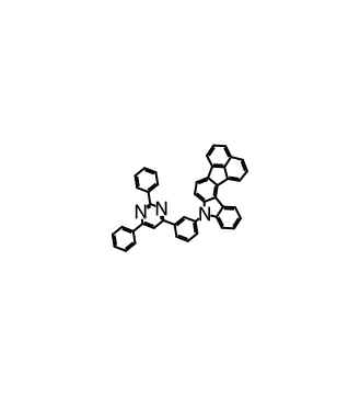 c1ccc(-c2cc(-c3cccc(-n4c5ccccc5c5c6c(ccc54)-c4cccc5cccc-6c45)c3)nc(-c3ccccc3)n2)cc1